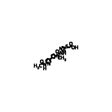 CC(=O)Nc1ccc(C2CCC(N(C)C(=O)Nc3ncc(SCC(=O)O)s3)C2)cn1